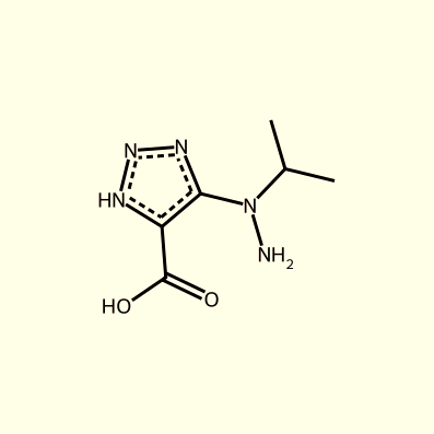 CC(C)N(N)c1nn[nH]c1C(=O)O